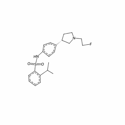 CC(C)c1ccccc1S(=O)(=O)Nc1ccc([C@@H]2CCN(CCF)C2)cc1